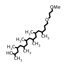 COCCCOCCCC(C)CC(C)CC(C)CC(C)CC(C)CC(C)CC(C)O